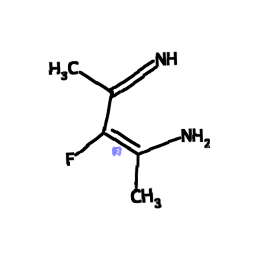 CC(=N)/C(F)=C(/C)N